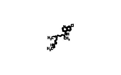 C=CNOCCN(CC)CCCC(C)Nc1ccnc2cc(Cl)ccc12